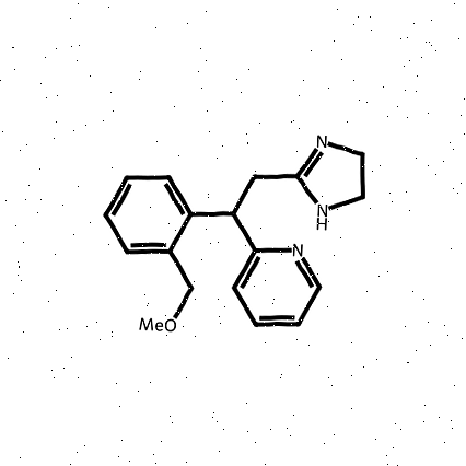 COCc1ccccc1C(CC1=NCCN1)c1ccccn1